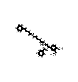 OCc1cc(C(CNCCCCCCOCCCCc2ccccc2)OCc2ccccc2)ccc1O